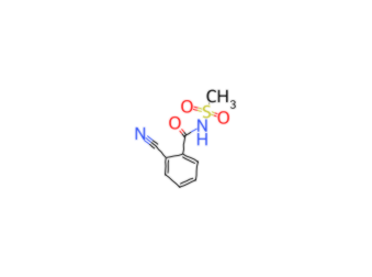 CS(=O)(=O)NC(=O)c1ccccc1C#N